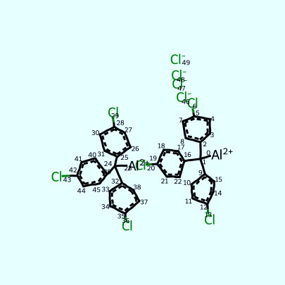 [Al+2][C](c1ccc(Cl)cc1)(c1ccc(Cl)cc1)c1ccc(Cl)cc1.[Al+2][C](c1ccc(Cl)cc1)(c1ccc(Cl)cc1)c1ccc(Cl)cc1.[Cl-].[Cl-].[Cl-].[Cl-]